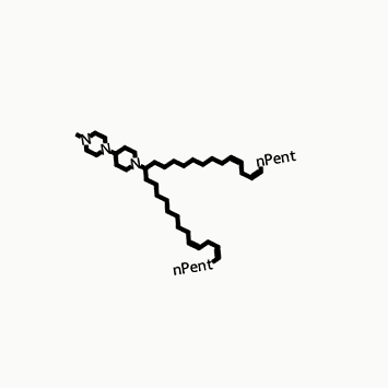 CCCCC/C=C\C/C=C\CCCCCCCCC(CCCCCCCC/C=C\C/C=C\CCCCC)N1CCC(N2CCN(C)CC2)CC1